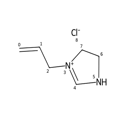 C=CC[N+]1=CNCC1.[Cl-]